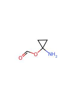 NC1(OC=O)CC1